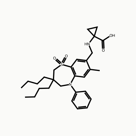 CCCCC1(CCCC)CN(c2ccccc2)c2cc(C)c(CNC3(C(=O)O)CC3)cc2S(=O)(=O)C1